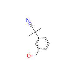 CC(C)(C#N)c1cccc(C=O)c1